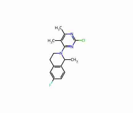 Cc1nc(Cl)nc(N2CCc3cc(F)ccc3C2C)c1C